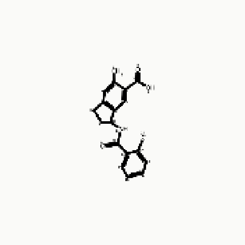 Cc1cc2c(cc1C(=O)O)C(NC(=O)c1ccccc1Cl)CC2